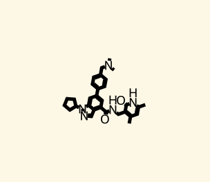 Cc1cc(C)c(CNC(=O)c2cc(-c3ccc(CN(C)C)cc3)cc3c2cnn3C2CCCC2)c(=O)[nH]1